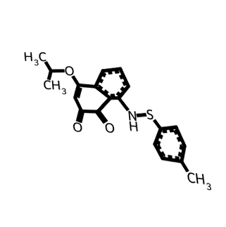 Cc1ccc(SNc2cccc3c2C(=O)C(=O)C=C3OC(C)C)cc1